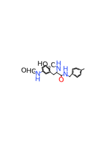 Cc1ccc(CNC(=O)C(Cc2cccc(NC=O)c2)NC(=O)O)cc1